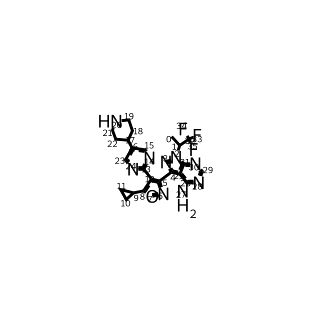 CC(n1nc(-c2noc(C3CC3)c2-c2ncc(C3CCNCC3)cn2)c2c(N)ncnc21)C(F)(F)F